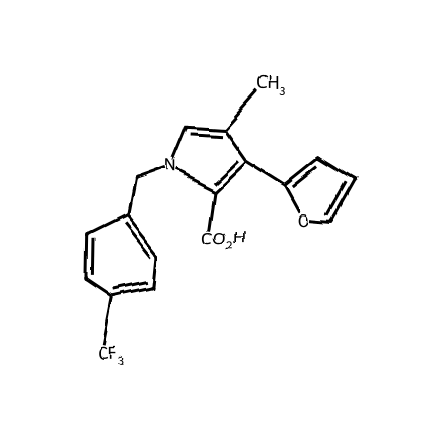 Cc1cn(Cc2ccc(C(F)(F)F)cc2)c(C(=O)O)c1-c1ccco1